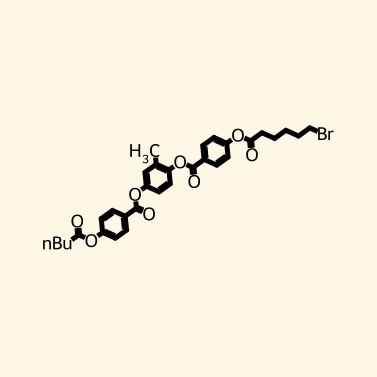 CCCCC(=O)Oc1ccc(C(=O)Oc2ccc(OC(=O)c3ccc(OC(=O)CCCCCBr)cc3)c(C)c2)cc1